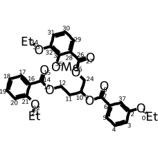 CCOc1cccc(C(=O)OC(CCOC(=O)c2ccccc2OCC)COC(=O)c2cccc(OCC)c2OC)c1